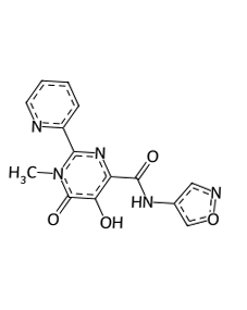 Cn1c(-c2ccccn2)nc(C(=O)Nc2cnoc2)c(O)c1=O